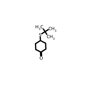 CC(C)(C)SC1CCC(=O)CC1